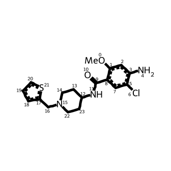 COc1cc(N)c(Cl)cc1C(=O)NC1CCN(Cc2cccs2)CC1